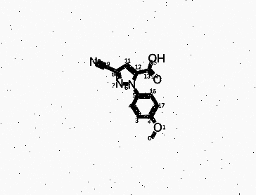 COc1ccc(-n2nc(C#N)cc2C(=O)O)cc1